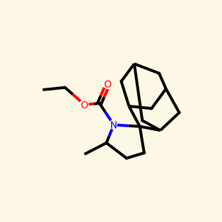 CCOC(=O)N1C(C)CCC12C1CC3CC(C1)CC2C3